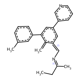 C=c1c(-c2cccc(C)c2)cc(-c2cccnc2)c/c1=C/N=C(\C)CC